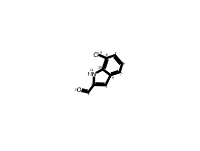 O=Cc1cc2cccc(Cl)c2[nH]1